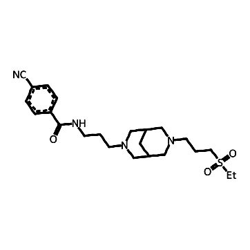 CCS(=O)(=O)CCCN1CC2CC(CN(CCCNC(=O)c3ccc(C#N)cc3)C2)C1